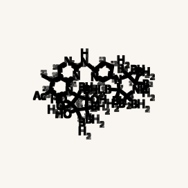 BC1(B)NC(B)(B)C(B)(B)N(c2ccc(Nc3ncc4c(C)c(C(C)=O)c(=O)n(C5(B)C(B)(O)C(B)(B)C(B)(O)C5(B)O)c4n3)nc2)C1(B)B